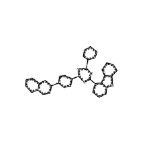 c1ccc(-c2nc(-c3ccc(-c4ccc5ccccc5c4)cc3)nc(-c3cccc4sc5ccccc5c34)n2)cc1